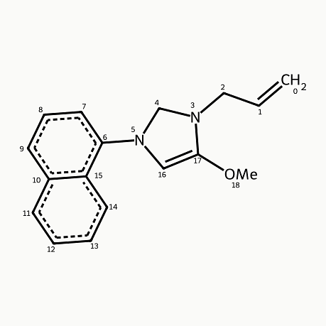 C=CCN1CN(c2cccc3ccccc23)C=C1OC